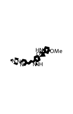 COc1ccc2c(c1)C1(C[C@H]1c1ccc3c(/C=C/c4ccc(N5CCN(C)CC5)nc4)n[nH]c3c1)C(=O)N2